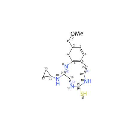 COCC1C=CC2=C(C1)/N=C(NC1CC1)\C=N\[C@@H](S)N/C=C/2